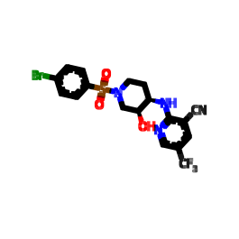 N#Cc1cc(C(F)(F)F)cnc1N[C@@H]1CCN(S(=O)(=O)c2ccc(Br)cc2)C[C@@H]1O